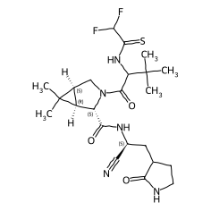 CC(C)(C)C(NC(=S)C(F)F)C(=O)N1C[C@H]2[C@@H]([C@H]1C(=O)N[C@H](C#N)CC1CCNC1=O)C2(C)C